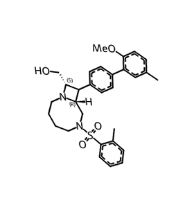 COc1ccc(C)cc1-c1ccc(C2[C@@H](CO)N3CCCCN(S(=O)(=O)c4ccccc4C)C[C@@H]23)cc1